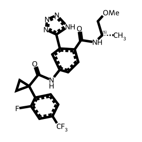 COC[C@H](C)NC(=O)c1ccc(NC(=O)C2(c3ccc(C(F)(F)F)cc3F)CC2)cc1-c1nnn[nH]1